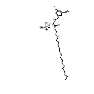 CCCCCCCCCCCCCCCCCCOC(=O)[C@H](COP(=O)(O)O)OCc1cc(F)cc(C#N)c1